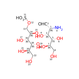 N[C@@H](C=O)[C@@H](O)[C@H](O)[C@H](O)CO.O=S(=O)(O)OC[C@@H](O)[C@@H](O)[C@H](O)[C@H](O)CO